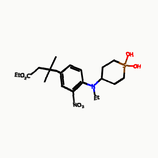 CCOC(=O)CC(C)(C)c1ccc(N(CC)C2CCS(O)(O)CC2)c([N+](=O)[O-])c1